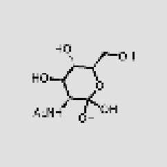 CC(=O)N[C@H]1[C@@H](O)[C@H](O)[C@@H](CO)OC1(O)O